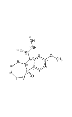 COc1ccc(P2(=O)OCCCCN2CC(=O)NO)cc1